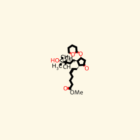 COC(=O)CCC/C=C\C[C@H]1C(=O)C[C@@H](OC2CCCCO2)[C@@H]1CCC(C)(C)[Si](C)(C)O